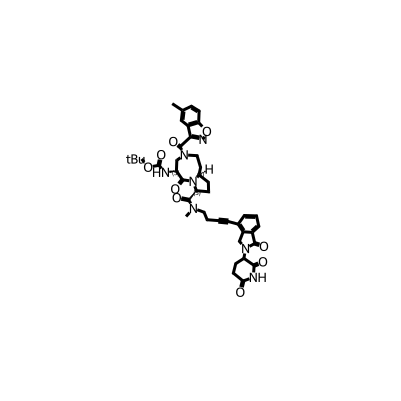 Cc1ccc2onc(C(=O)N3CC[C@H]4CC[C@@H](C(=O)N(C)CCC#Cc5cccc6c5CN(C5CCC(=O)NC5=O)C6=O)N4C(=O)[C@@H](NC(=O)OC(C)(C)C)C3)c2c1